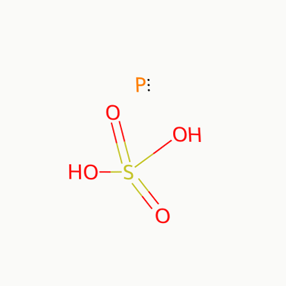 O=S(=O)(O)O.[P]